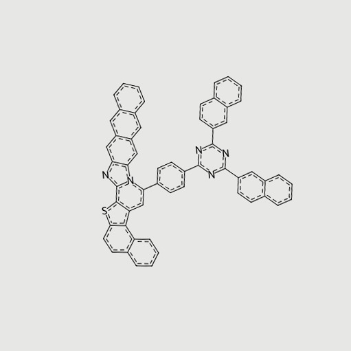 c1ccc2cc(-c3nc(-c4ccc(-c5cc6c(sc7ccc8ccccc8c76)c6nc7cc8cc9ccccc9cc8cc7n56)cc4)nc(-c4ccc5ccccc5c4)n3)ccc2c1